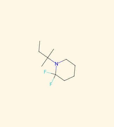 CCC(C)(C)N1CCCCC1(F)F